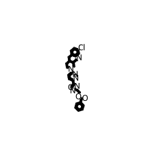 N#CC1CN(c2ccc(-c3nc(COC(=O)c4ccccc4)no3)nn2)CCC1Cc1ccc(Cl)cc1